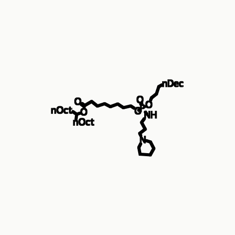 CCCCCCCCCCCCCOP(=O)(NCCCN1CCCCC1)OCCCCCCCC(=O)OC(CCCCCCCC)CCCCCCCC